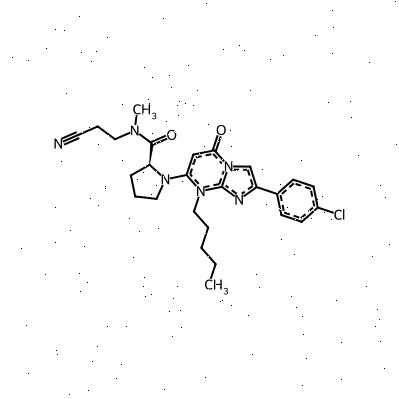 CCCCCn1c(N2CCC[C@H]2C(=O)N(C)CCC#N)cc(=O)n2cc(-c3ccc(Cl)cc3)nc12